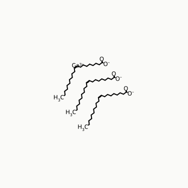 CCCCCCCCCC/C=C\CCCCCCCC(=O)[O-].CCCCCCCCCC/C=C\CCCCCCCC(=O)[O-].CCCCCCCCCC/C=C\CCCCCCCC(=O)[O-].[Ga+3]